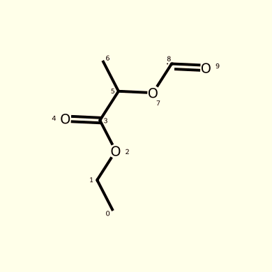 CCOC(=O)C(C)O[C]=O